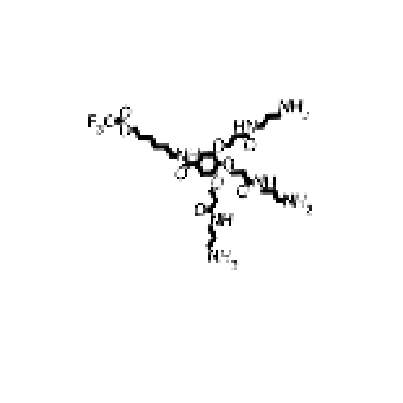 NCCCNC(=O)CCOC1[C@H](OCCC(=O)NCCCN)CC(C(=O)NCCCCCCOC(=O)C(F)(F)F)C[C@H]1OCCC(=O)NCCCN